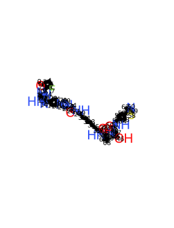 COc1cccc(F)c1-c1ncc2[nH]nc(-c3ccc(N4CCN(CC(=O)NCCCCCCCCCC(=O)N[C@H](C(=O)N5CC(O)C[C@H]5C(=O)NCc5ccc(-c6scnc6C)cc5)C(C)(C)C)CC4)cc3)c2n1